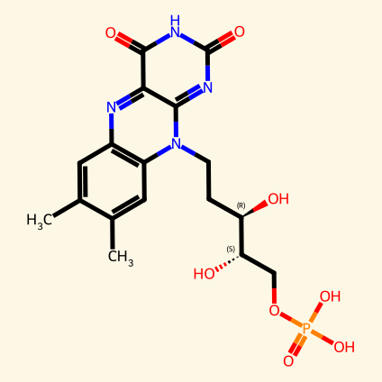 Cc1cc2nc3c(=O)[nH]c(=O)nc-3n(CC[C@@H](O)[C@@H](O)COP(=O)(O)O)c2cc1C